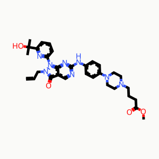 C=CCn1c(=O)c2cnc(Nc3ccc(N4CCN(CCCC(=O)OC)CC4)cc3)nc2n1-c1cccc(C(C)(C)O)n1